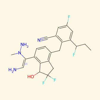 CCC(F)c1cc(F)cc(C#N)c1Cc1ccc(/C(=C/N)N(C)N)c2c1CC(F)(F)C2O